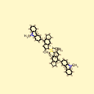 CCS(CC)(C1C(C)=Cc2c1cc1c(c2-c2ccc3c(c2)c2ccccc2n3C)CCC1)C1C(C)=Cc2c1cc1c(c2-c2ccc3c(c2)c2ccccc2n3C)CCC1